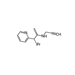 C#CCNC(=S)C(c1ccccn1)C(C)C